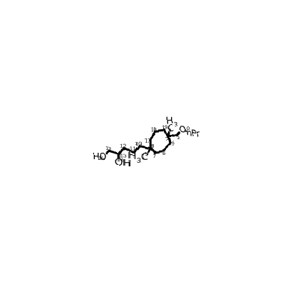 CCCOCC1(C)CCCC(C)(CCCC(O)CO)CCC1